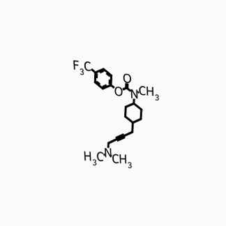 CN(C)CC#CCC1CCC(N(C)C(=O)Oc2ccc(C(F)(F)F)cc2)CC1